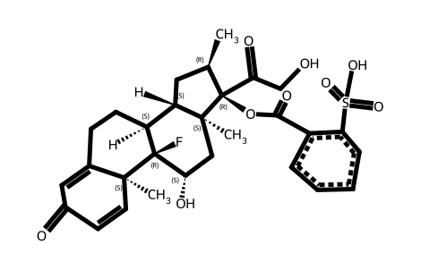 C[C@@H]1C[C@H]2[C@@H]3CCC4=CC(=O)C=C[C@]4(C)[C@@]3(F)[C@@H](O)C[C@]2(C)[C@@]1(OC(=O)c1ccccc1S(=O)(=O)O)C(=O)CO